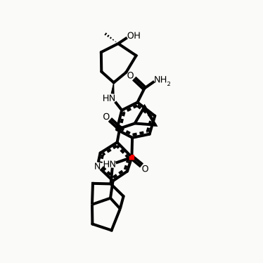 C[C@]1(O)CC[C@@H](Nc2cc(C(=O)NC3CC4CCC(C3)C4c3ccc(C(=O)C4CC4)cn3)ccc2C(N)=O)CC1